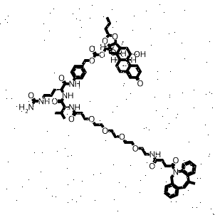 CCCC1O[C@@H]2C[C@H]3[C@@H]4CCC5=CC(=O)C=C[C@]5(C)[C@H]4[C@@H](O)C[C@]3(C)[C@]2(C(=O)COC(=O)OCc2ccc(NC(=O)[C@H](CCCNC(N)=O)NC(=O)[C@@H](NC(=O)CCOCCOCCOCCOCCNC(=O)CCC(=O)N3Cc4ccccc4/C=C(/C)c4ccccc43)C(C)C)cc2)O1